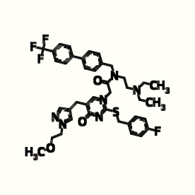 CCN(CC)CCN(Cc1ccc(-c2ccc(C(F)(F)F)cc2)cc1)C(=O)Cn1cc(Cc2cnn(CCOC)c2)c(=O)nc1SCc1ccc(F)cc1